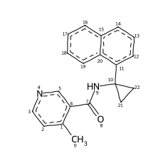 Cc1ccncc1C(=O)NC1(c2cccc3ccccc23)CC1